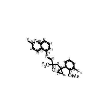 COc1c(F)cccc1C1(CC(O)(C=Nc2cccc3nc(C)ccc23)C(F)(F)F)CC1